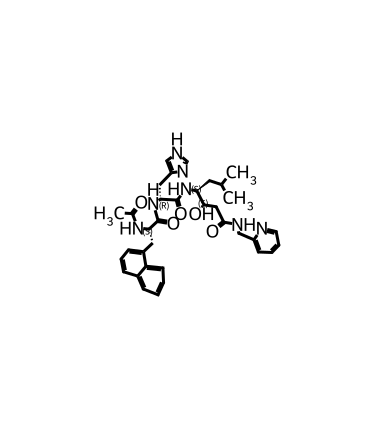 CC(=O)N[C@@H](Cc1cccc2ccccc12)C(=O)N[C@H](Cc1c[nH]cn1)C(=O)N[C@@H](CC(C)C)[C@@H](O)CC(=O)NCc1ccccn1